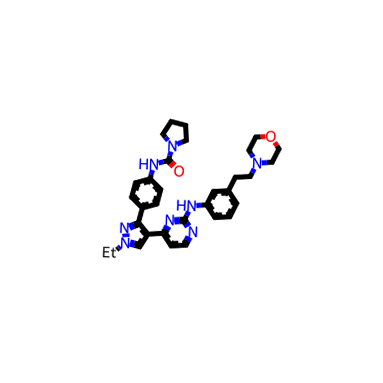 CCn1cc(-c2ccnc(Nc3cccc(CCN4CCOCC4)c3)n2)c(-c2ccc(NC(=O)N3CCCC3)cc2)n1